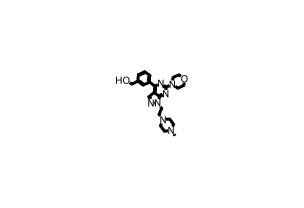 CN1CCN(CCn2ncc3c(-c4cccc(CO)c4)nc(N4CCOCC4)nc32)CC1